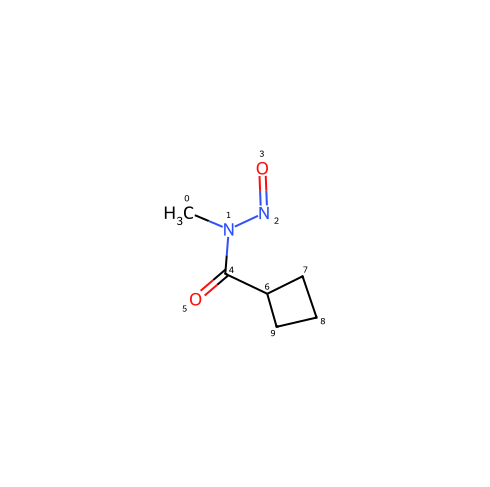 CN(N=O)C(=O)C1CCC1